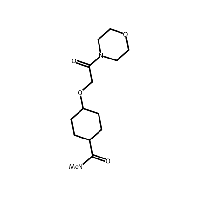 CNC(=O)C1CCC(OCC(=O)N2CCOCC2)CC1